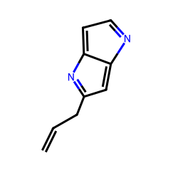 C=CCC1=NC2=CC=NC2=C1